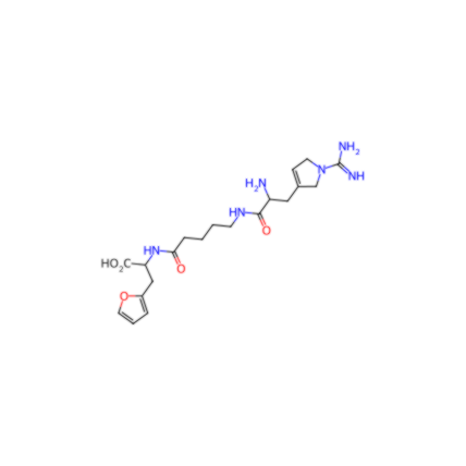 N=C(N)N1CC=C(CC(N)C(=O)NCCCCC(=O)NC(Cc2ccco2)C(=O)O)C1